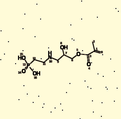 C=C(C)C(=O)OCC(O)CNCCP(=O)(O)O